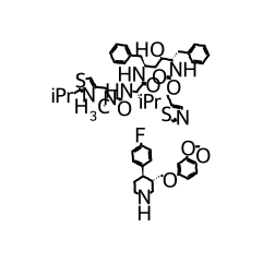 CC(C)c1nc(CN(C)C(=O)N[C@H](C(=O)N[C@@H](Cc2ccccc2)C[C@H](O)[C@H](Cc2ccccc2)NC(=O)OCc2cncs2)C(C)C)cs1.Fc1ccc([C@@H]2CCNC[C@H]2COc2ccc3c(c2)OCO3)cc1